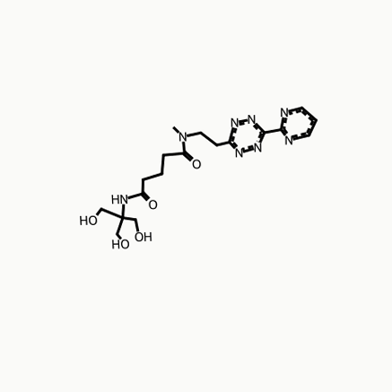 CN(CCc1nnc(-c2ncccn2)nn1)C(=O)CCCC(=O)NC(CO)(CO)CO